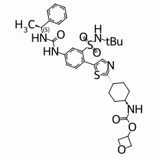 C[C@H](NC(=O)Nc1ccc(-c2cnc([C@H]3CC[C@H](NC(=O)OC4COC4)CC3)s2)c(S(=O)(=O)NC(C)(C)C)c1)c1ccccc1